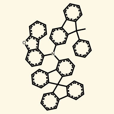 CC1(c2ccccc2)c2ccccc2-c2ccc(N(c3cccc4c3-c3ccccc3C43c4ccccc4-c4ccccc43)c3cccc4oc5ccccc5c34)cc21